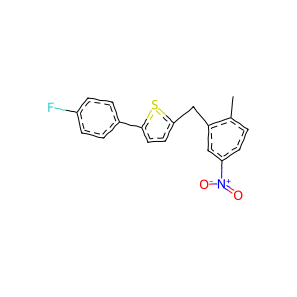 Cc1ccc([N+](=O)[O-])cc1Cc1ccc(-c2ccc(F)cc2)s1